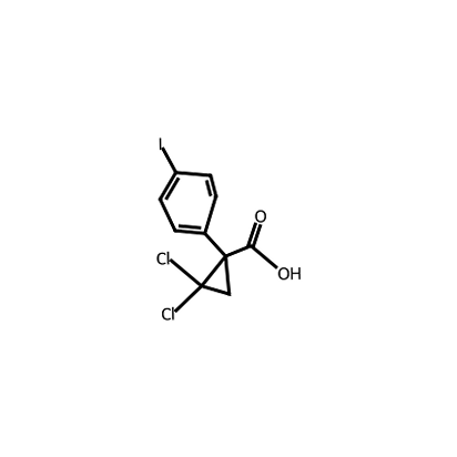 O=C(O)C1(c2ccc(I)cc2)CC1(Cl)Cl